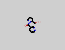 O=C(c1cccnc1)N1CCCC1CO